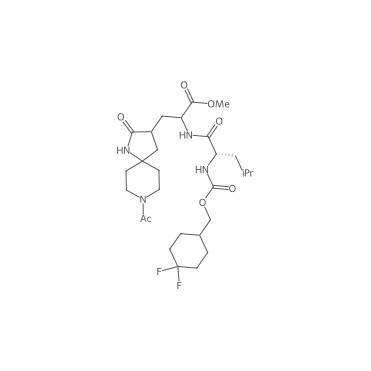 COC(=O)C(CC1CC2(CCN(C(C)=O)CC2)NC1=O)NC(=O)[C@H](CC(C)C)NC(=O)OCC1CCC(F)(F)CC1